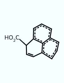 O=C(O)C1C=Cc2cccc3cccc1c23